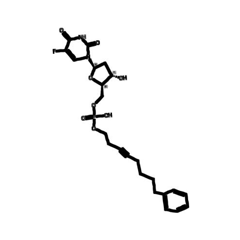 O=c1[nH]c(=O)n([C@H]2C[C@H](O)[C@@H](COP(=O)(O)OCCC#CCCCCc3ccccc3)O2)cc1F